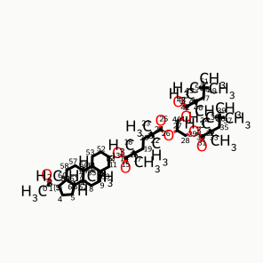 CC(=O)[C@H]1CC[C@H]2[C@@H]3CC[C@H]4C[C@@H](OC(=O)C(C)(C)CCC(C)(C)C(=O)OC(COC(=O)C(C)(C)CC(C)(C)C)COC(=O)C(C)(C)CC(C)(C)C)CC[C@]4(C)[C@H]3CC[C@]12C